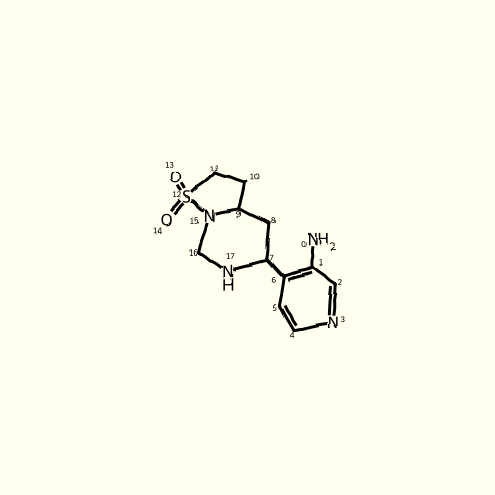 Nc1cnccc1C1CC2CCS(=O)(=O)N2CN1